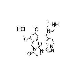 COc1ccc(CN2C(=O)CCN(c3cnn4ccc(CN5CCN[C@@H](C)C5)cc34)C2=O)c(OC)c1.Cl